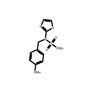 COc1ccc(CN(c2ncco2)S(=O)(=O)OC)cc1